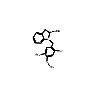 CCCCOc1cc([N+](=O)[O-])c(CN2c3ccccc3C[C@H]2C=O)cc1OC